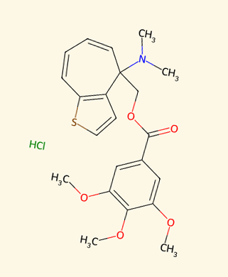 COc1cc(C(=O)OCC2(N(C)C)C=CC=Cc3sccc32)cc(OC)c1OC.Cl